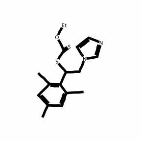 CCOC(=S)SC(Cn1ccnc1)c1c(C)cc(C)cc1C